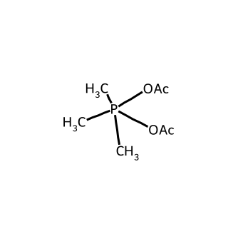 CC(=O)OP(C)(C)(C)OC(C)=O